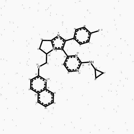 Fc1ccc(-c2nc3n(c2-c2ccnc(NC4CC4)n2)C(COc2ccc4ccccc4n2)CC3)cc1